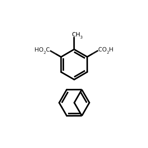 Cc1c(C(=O)O)cccc1C(=O)O.c1cc2cc(c1)C2